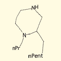 [CH2]CCN1CCNCC1CCCCCC